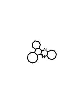 C1CCCC2C3=NC4CCCCCCC4N=C3C3CCCCCC3C2CCC1